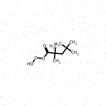 CC(C)(C)CC(C)(C)C(=O)OOO